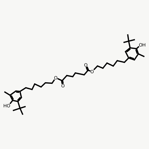 Cc1cc(CCCCCCOC(=O)CCCCC(=O)OCCCCCCc2cc(C)c(O)c(C(C)(C)C)c2)cc(C(C)(C)C)c1O